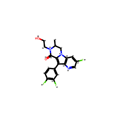 CC1Cn2c(c(-c3ccc(F)c(F)c3)c3ncc(F)cc32)C(=O)N1CCO